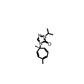 CC1=CC=C[C@@](C)(n2cnn(C(C)C)c2=O)C=C1